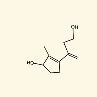 C=C(CCO)C1=C(C)C(O)CC1